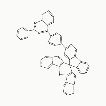 c1ccc(-c2nc(-c3ccc(-c4ccc5c(c4)C4(c6ccccc6-5)c5ccc6ccccc6c5Sc5c4ccc4ccccc54)cc3)c3ccccc3n2)cc1